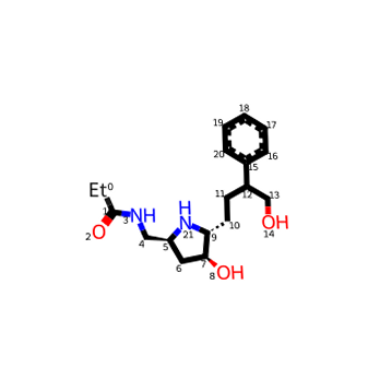 CCC(=O)NC[C@@H]1C[C@H](O)[C@@H](CCC(CO)c2ccccc2)N1